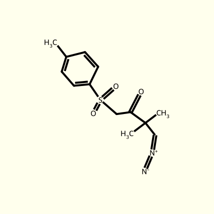 Cc1ccc(S(=O)(=O)CC(=O)C(C)(C)C=[N+]=[N-])cc1